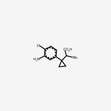 CC(C)(C)C(C(=O)O)C1(c2ccc(Cl)c(N)c2)CC1